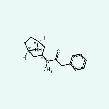 CN(C(=O)Cc1ccccc1)[C@H]1C[C@H]2CC[C@@H](C1)N2